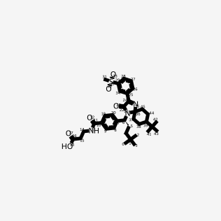 CC(C)(C)CC[C@H](c1ccc(C(=O)NCCC(=O)O)cc1)N1C(=O)C(c2cccc(S(C)(=O)=O)c2)=NC12CCC(C(C)(C)C)CC2